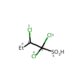 CCC(Cl)C(Cl)(Cl)S(=O)(=O)O